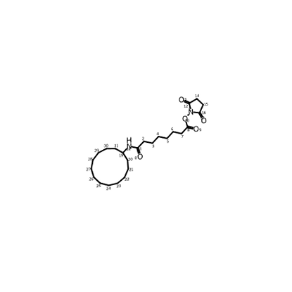 O=C(CCCCCCC(=O)ON1C(=O)CCC1=O)NC1CCCCCCCCCCCC1